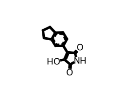 O=C1NC(=O)C(c2ccc3c(c2)CCC3)=C1O